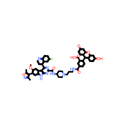 COc1cc2c(cc1-c1c(C)noc1C)[nH]c1nc(C(=O)NC3CCN(CCCNC(=O)c4ccc(-c5c6ccc(=O)cc-6oc6cc(O)ccc56)c(C(=O)O)c4)CC3)nc(-c3ccnc4ccc(F)cc34)c12